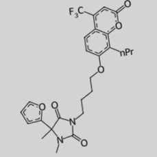 CCCc1c(OCCCCN2C(=O)N(C)C(C)(c3ccco3)C2=O)ccc2c(C(F)(F)F)cc(=O)oc12